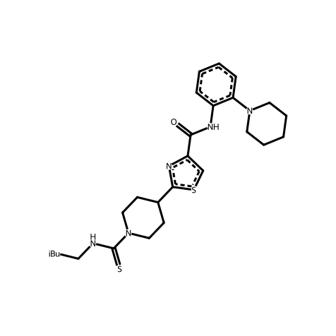 CCC(C)CNC(=S)N1CCC(c2nc(C(=O)Nc3ccccc3N3CCCCC3)cs2)CC1